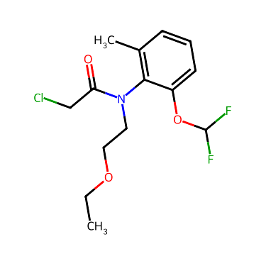 CCOCCN(C(=O)CCl)c1c(C)cccc1OC(F)F